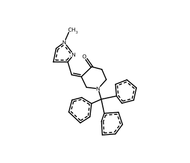 Cn1ccc(C=C2CN(C(c3ccccc3)(c3ccccc3)c3ccccc3)CCC2=O)n1